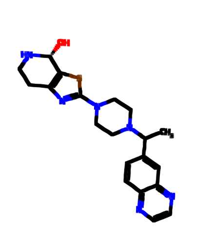 CC(c1ccc2nccnc2c1)N1CCN(c2nc3c(s2)[C@@H](O)NCC3)CC1